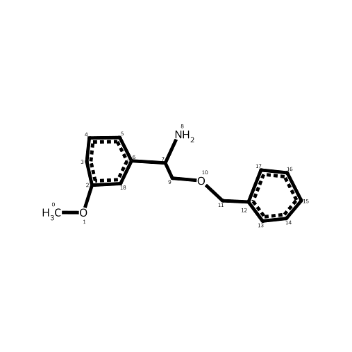 COc1cccc(C(N)COCc2ccccc2)c1